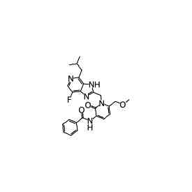 COCc1ccc(NC(=O)c2ccccc2)c(=O)n1Cc1nc2c(F)cnc(CC(C)C)c2[nH]1